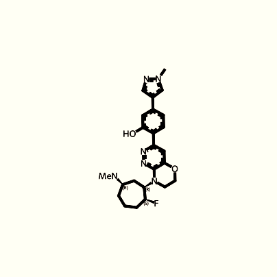 CN[C@@H]1CCC[C@H](F)[C@H](N2CCOc3cc(-c4ccc(-c5cnn(C)c5)cc4O)nnc32)C1